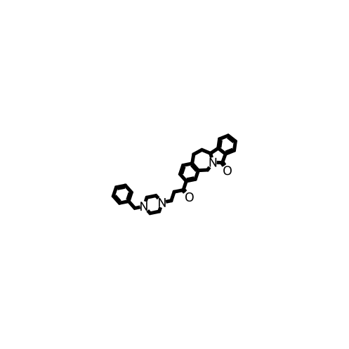 O=C(CCN1CCN(Cc2ccccc2)CC1)c1ccc2c(c1)CN1C(=O)c3ccccc3C1CC2